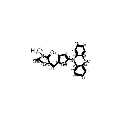 CN1C(=O)/C(=C\c2ccc(N3c4ccccc4[Se]c4ccccc43)[se]2)SC1=S